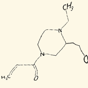 C=CC(=O)N1CCN(CC)C(CO)C1